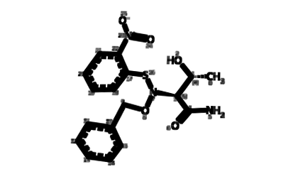 C[C@@H](O)[C@@H](C(N)=O)N(OCc1ccccc1)Sc1ccccc1[N+](=O)[O-]